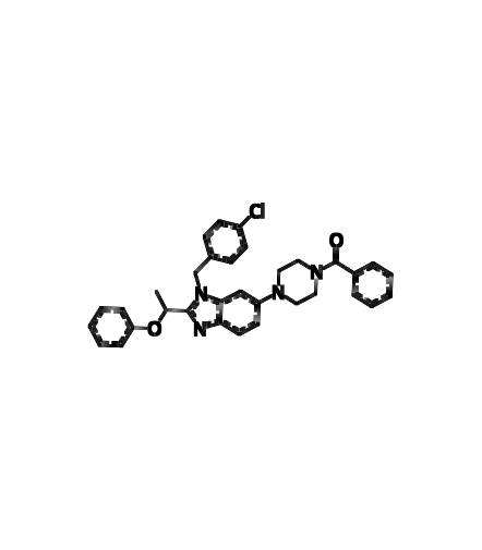 CC(Oc1ccccc1)c1nc2ccc(N3CCN(C(=O)c4ccccc4)CC3)cc2n1Cc1ccc(Cl)cc1